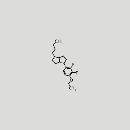 CCCCC1CCC2C(c3ccc(OCC)c(F)c3F)CCC12